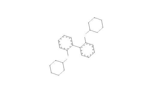 c1ccc(-c2ccccc2PC2CCCCC2)c(PC2CCCCC2)c1